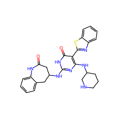 O=C1CC(Nc2nc(NC3CCCNC3)c(-c3nc4ccccc4s3)c(=O)[nH]2)Cc2ccccc2N1